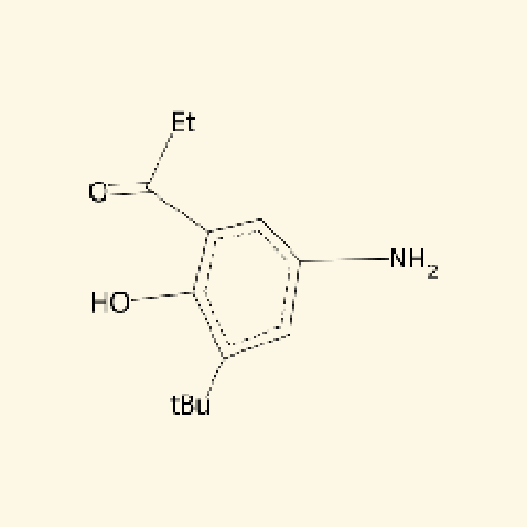 CCC(=O)c1cc(N)cc(C(C)(C)C)c1O